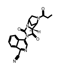 CCC(=O)N1CC2CC1[C@@H]1C(=O)N(c3cnc(C#N)c4ccccc34)C(=O)N21